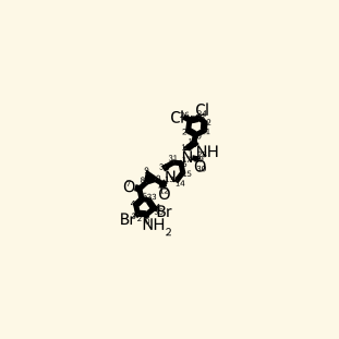 Nc1c(Br)cc(C(=O)C2CC2C(=O)N2CCC(n3cc(-c4ccc(Cl)c(Cl)c4)[nH]c3=O)CC2)cc1Br